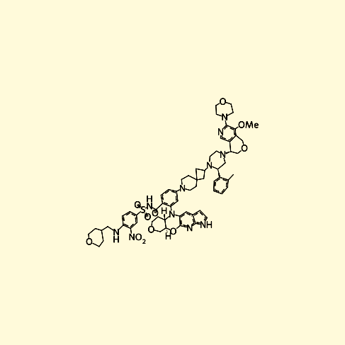 COc1c(N2CCOCC2)ncc2c1COC[C@H]2N1CCN(C2CC3(CCN(c4ccc(C(=O)NS(=O)(=O)c5ccc(NCC6CCOCC6)c([N+](=O)[O-])c5)c(N5c6cc7cc[nH]c7nc6O[C@H]6COCC[C@@H]65)c4)CC3)C2)[C@H](c2ccccc2C)C1